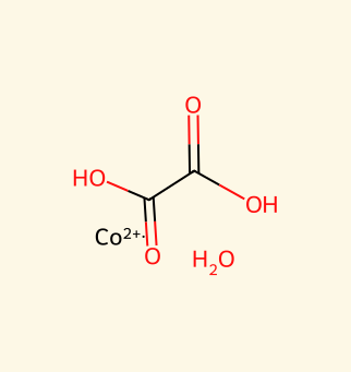 O.O=C(O)C(=O)O.[Co+2]